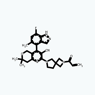 C=CC(=O)N1CC2(CCN(c3nc4c(c(-c5c(C)cc(F)c6[nH]ncc56)c3C#N)COC(C)(C)C4)C2)C1